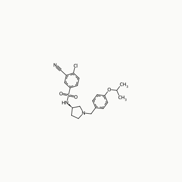 CC(C)Oc1ccc(CN2CC[C@@H](NS(=O)(=O)c3ccc(Cl)c(C#N)c3)C2)cc1